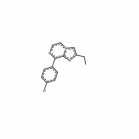 CCc1cn2ccnc(-c3ccc(Cl)cc3)c2n1